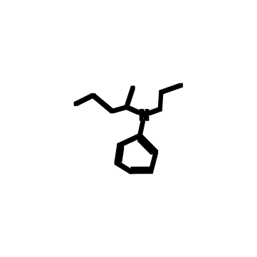 CCCC(C)N(CCC)c1ccccc1